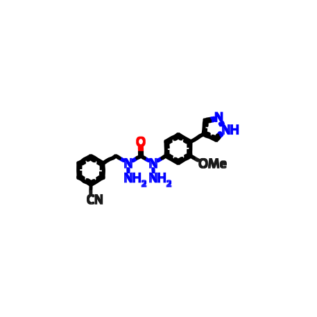 COc1cc(N(N)C(=O)N(N)Cc2cccc(C#N)c2)ccc1-c1cn[nH]c1